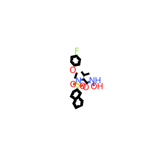 CC(C)[C@H](C(=O)NO)N(CCOc1ccc(F)cc1)S(=O)(=O)c1ccc2ccccc2c1